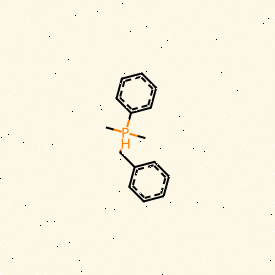 C[PH](C)(Cc1ccccc1)c1ccccc1